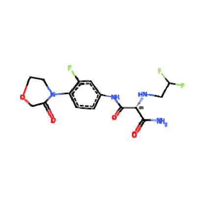 NC(=O)[C@@H](NCC(F)F)C(=O)Nc1ccc(N2CCOCC2=O)c(F)c1